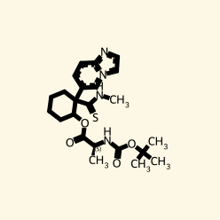 CNC(=S)C1(c2ccc3nccn3c2)CCCCC1OC(=O)[C@H](C)NC(=O)OC(C)(C)C